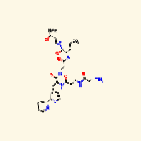 CNC(=O)CCNC(=O)C(CCC(=O)O)NC(=O)CCNC(=O)C(Cc1ccnc(-c2ccccn2)c1)NC(=O)CCNC(=O)CCN